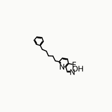 O/N=C\c1nc(CCCCCc2ccccc2)ccc1F